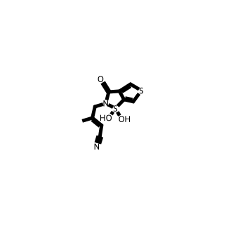 CC(=CC#N)CN1C(=O)c2cscc2S1(O)O